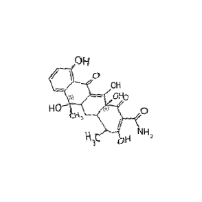 CC1C(O)=C(C(N)=O)C(=O)[C@@]2(O)C(O)=C3C(=O)c4c(O)cccc4[C@@](C)(O)C3CC12